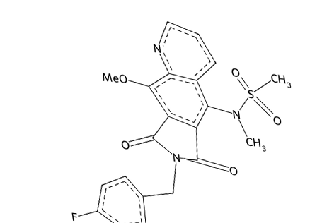 COc1c2c(c(N(C)S(C)(=O)=O)c3cccnc13)C(=O)N(Cc1ccc(F)cc1)C2=O